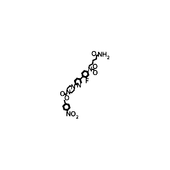 NC(=O)CCC1CN(c2ccc(-c3ccc(N4CCN(C(=O)OCc5ccc([N+](=O)[O-])cc5)CC4)nc3)c(F)c2)C(=O)O1